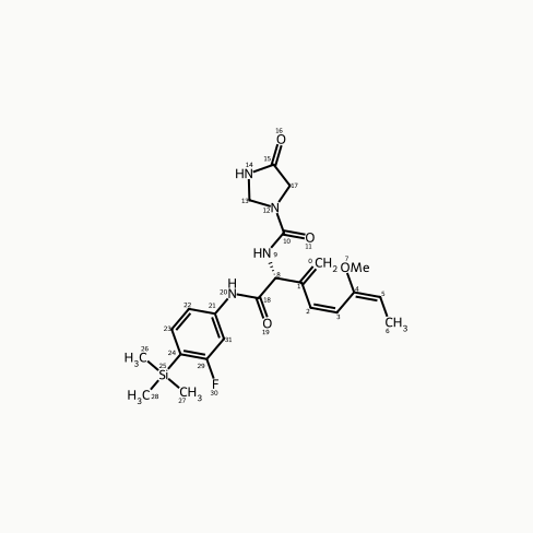 C=C(/C=C\C(=C/C)OC)[C@@H](NC(=O)N1CNC(=O)C1)C(=O)Nc1ccc([Si](C)(C)C)c(F)c1